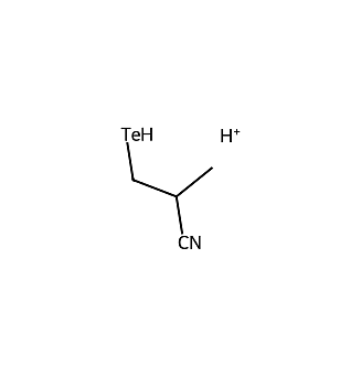 CC(C#N)C[TeH].[H+]